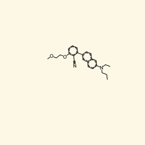 CCCN(CC)c1ccc2cc(-c3cccc(OCCOC)c3C#N)ccc2c1